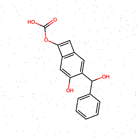 O=C(O)OC1=Cc2cc(C(O)c3ccccc3)c(O)cc21